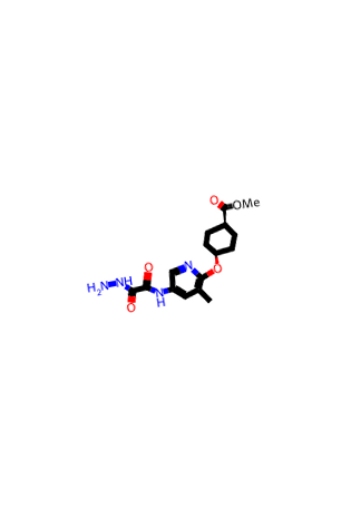 COC(=O)[C@H]1CC[C@@H](Oc2ncc(NC(=O)C(=O)NN)cc2C)CC1